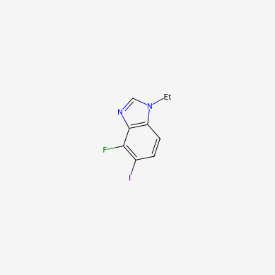 CCn1cnc2c(F)c(I)ccc21